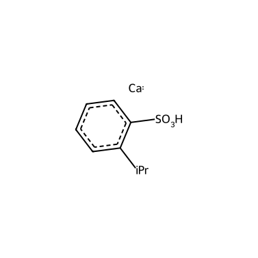 CC(C)c1ccccc1S(=O)(=O)O.[Ca]